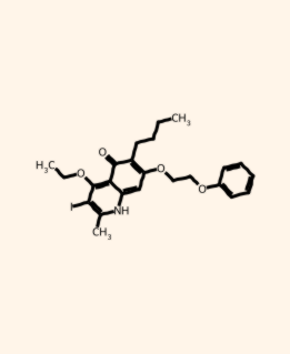 CCCCc1c(OCCOc2ccccc2)cc2[nH]c(C)c(I)c(OCC)c-2c1=O